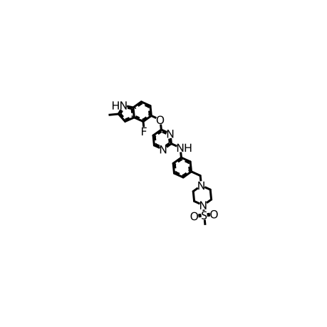 Cc1cc2c(F)c(Oc3ccnc(Nc4cccc(CN5CCN(S(C)(=O)=O)CC5)c4)n3)ccc2[nH]1